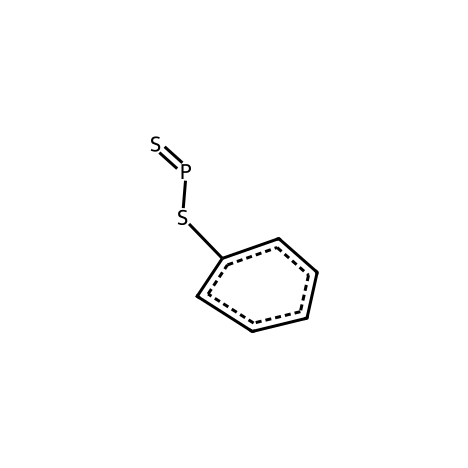 S=PSc1ccccc1